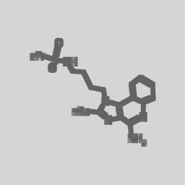 CCCCc1nc2c(N)nc3ccccc3c2n1CCCCNS(=O)(=O)CCC